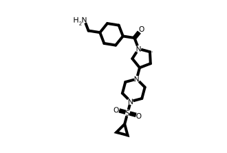 NCC1CCC(C(=O)N2[CH]CC(N3CCN(S(=O)(=O)C4CC4)CC3)C2)CC1